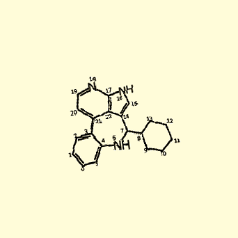 c1ccc2c(c1)NC(C1CCCCC1)c1c[nH]c3nccc-2c13